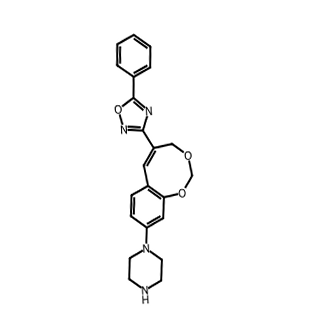 C1=C(/c2noc(-c3ccccc3)n2)COCOc2cc(N3CCNCC3)ccc2/1